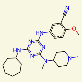 COc1ccc(Nc2nc(NC3CCCCCC3)nc(N(C)C3CCN(C)CC3)n2)cc1C#N